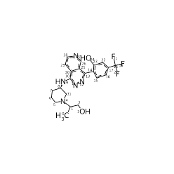 CC(CO)N1CCC[C@@H](Nc2nnc(-c3ccc(C(F)(F)F)cc3O)c3cnccc23)C1